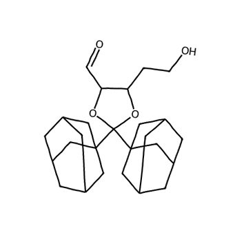 O=CC1OC(C23CC4CC(CC(C4)C2)C3)(C23CC4CC(CC(C4)C2)C3)OC1CCO